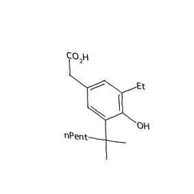 CCCCCC(C)(C)c1cc(CC(=O)O)cc(CC)c1O